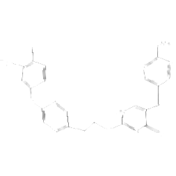 COc1ncc(Cc2c[nH]c(OCCc3ccc(Oc4ccc(Cl)c(C(F)(F)F)c4)cc3)nc2=O)cn1